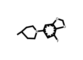 CC1CCN(c2cc(F)c3c(c2)OCO3)CC1